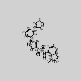 Cn1ncc2cccc(NS(=O)(=O)c3cnn(-c4cc(C5=CCOC5)ccn4)c3)c21